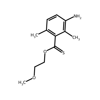 COCCOC(=S)c1c(C)ccc(N)c1C